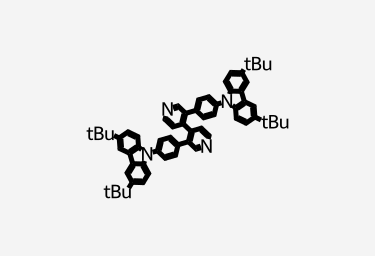 CC(C)(C)c1ccc2c(c1)c1cc(C(C)(C)C)ccc1n2-c1ccc(-c2cnccc2-c2ccncc2-c2ccc(-n3c4ccc(C(C)(C)C)cc4c4cc(C(C)(C)C)ccc43)cc2)cc1